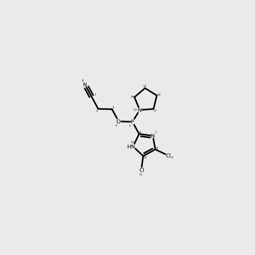 N#CCCOP(c1nc(Cl)c(Cl)[nH]1)N1CCCC1